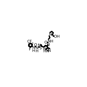 O=C(Nc1ncc(-c2cc(OC(=O)NCCCN3CCCC3CO)c3cn[nH]c3n2)s1)Nc1cc(C(F)(F)F)ccc1F